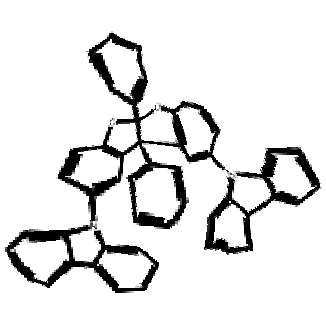 c1ccc(C23Oc4ccc(-n5c6ccccc6c6ccccc65)cc4C2(c2ccccc2)c2cc(-n4c5ccccc5c5ccccc54)ccc2O3)cc1